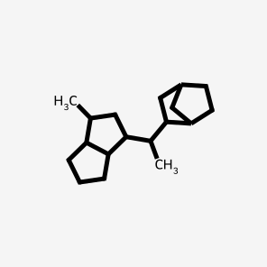 CC1CC(C(C)C2CC3CCC2C3)C2CCCC12